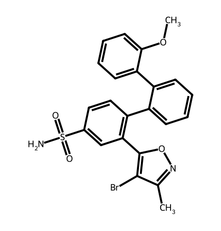 COc1ccccc1-c1ccccc1-c1ccc(S(N)(=O)=O)cc1-c1onc(C)c1Br